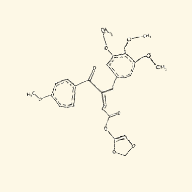 COc1ccc(C(=O)C(=CC(=O)OC2=COCO2)Cc2cc(OC)c(OC)c(OC)c2)cc1